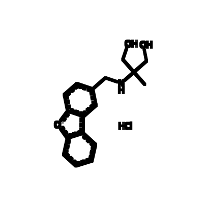 CC(CO)(CO)NCc1ccc2oc3ccccc3c2c1.Cl